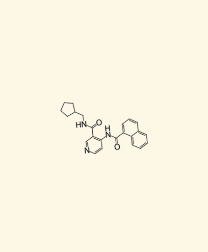 O=C(NCC1CCCC1)c1cnccc1NC(=O)c1cccc2ccccc12